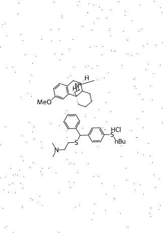 CCCCSc1ccc(C(SCCN(C)C)c2ccccc2)cc1.COc1ccc2c(c1)[C@]13CCCC[C@@H]1[C@H](C2)N(C)CC3.Cl